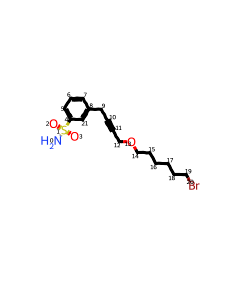 NS(=O)(=O)c1cccc(CC#CCOCCCCCCBr)c1